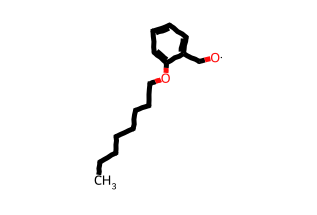 CCCCCCCCOc1ccccc1C[O]